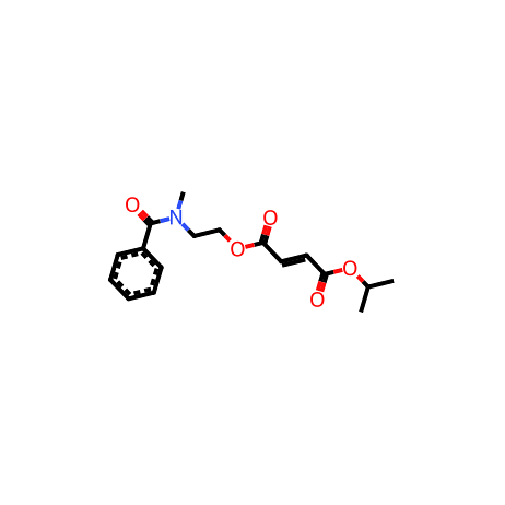 CC(C)OC(=O)/C=C/C(=O)OCCN(C)C(=O)c1ccccc1